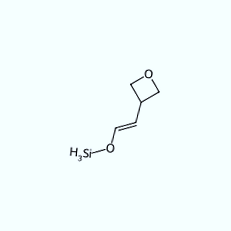 [SiH3]OC=CC1COC1